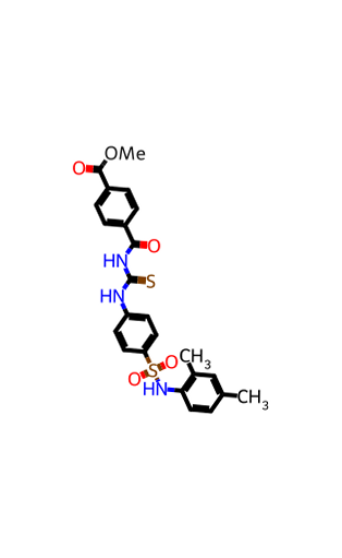 COC(=O)c1ccc(C(=O)NC(=S)Nc2ccc(S(=O)(=O)Nc3ccc(C)cc3C)cc2)cc1